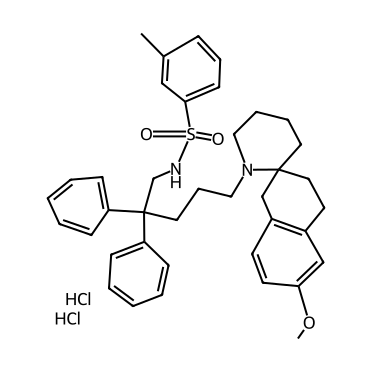 COc1ccc2c(c1)CCC1(CCCCN1CCCC(CNS(=O)(=O)c1cccc(C)c1)(c1ccccc1)c1ccccc1)C2.Cl.Cl